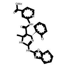 COC(=S)c1ccnc(NC(=O)C2=C(C)NC(Nc3nc4ccccc4o3)=N[C@H]2c2ccccc2Cl)c1